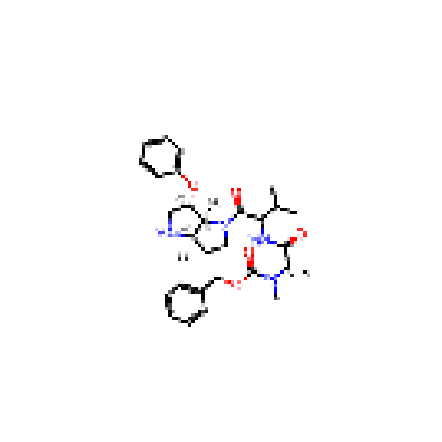 CC(C)C(NC(=O)[C@H](C)N(C)C(=O)OCc1ccccc1)C(=O)N1CC[C@H]2NC[C@H](Oc3ccccc3)[C@H]21